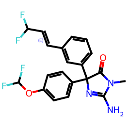 CN1C(=O)C(c2ccc(OC(F)F)cc2)(c2cccc(/C=C/C(F)F)c2)N=C1N